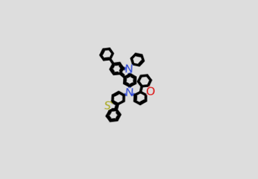 C1=CCCC(c2ccc3c4cc(N(C5=CC=CC6OC7CCCCC7C56)C5C=Cc6sc7ccccc7c6C5)ccc4n(C4C=CC=CC4)c3c2)=C1